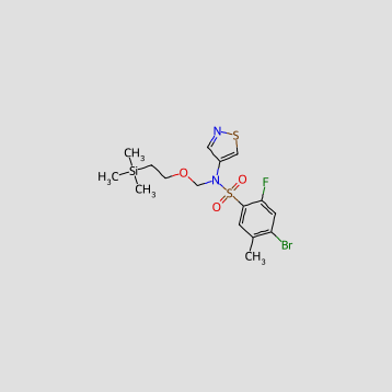 Cc1cc(S(=O)(=O)N(COCC[Si](C)(C)C)c2cnsc2)c(F)cc1Br